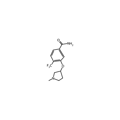 CN1CCC(Oc2cc(C(N)=O)ccc2C(F)(F)F)C1